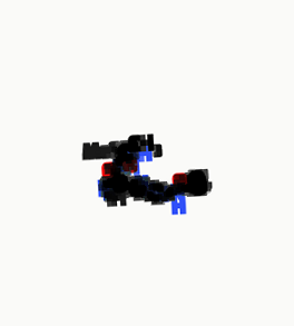 CSc1cc(C)[nH]c(=O)c1CNC(=O)c1cc(-c2ccc(N3CCN(CCNC(=O)CC45CC6CC(CC(C6)C4)C5)CC3)nc2)cc2c1cnn2C(C)C